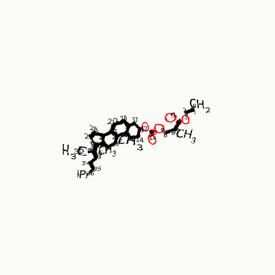 C=CCOC(=O)C(C)COC(=O)OC1CC[C@@]2(C)C(=CCC3C2CC[C@@]2(C)C3CC[C@@H]2[C@H](C)CCCC(C)C)C1